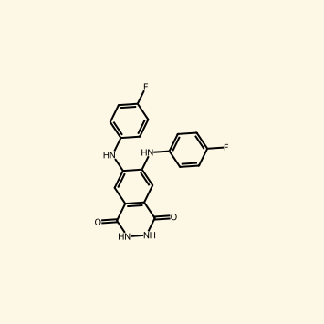 O=c1[nH][nH]c(=O)c2cc(Nc3ccc(F)cc3)c(Nc3ccc(F)cc3)cc12